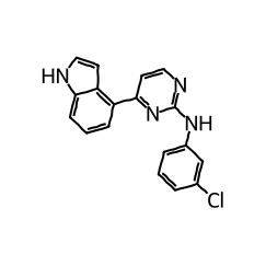 Clc1cccc(Nc2nccc(-c3cccc4[nH]ccc34)n2)c1